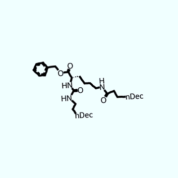 CCCCCCCCCCCCNC(=O)N[C@@H](CCCCNC(=O)CCCCCCCCCCCC)C(=O)OCc1ccccc1